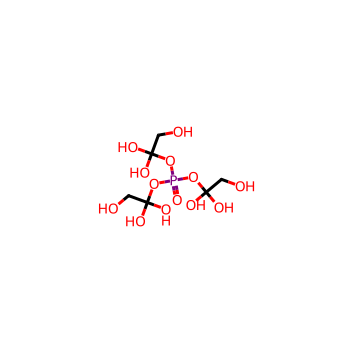 O=P(OC(O)(O)CO)(OC(O)(O)CO)OC(O)(O)CO